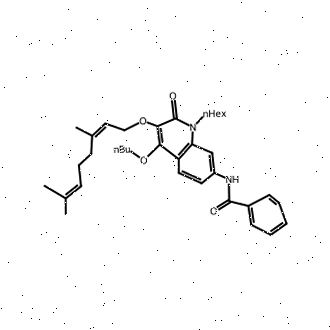 CCCCCCn1c(=O)c(OCC=C(C)CCC=C(C)C)c(OCCCC)c2ccc(NC(=O)c3ccccc3)cc21